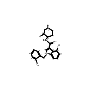 O=C(NC1CCNCC1F)c1cn(Cc2ccccc2F)c2cccc(F)c12